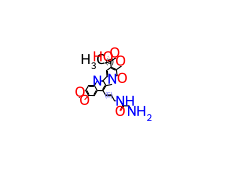 CC[C@@]1(O)C(=O)OCc2c1cc1n(c2=O)Cc2c-1nc1cc3c(cc1c2/C=C/CNC(=O)CN)OCO3